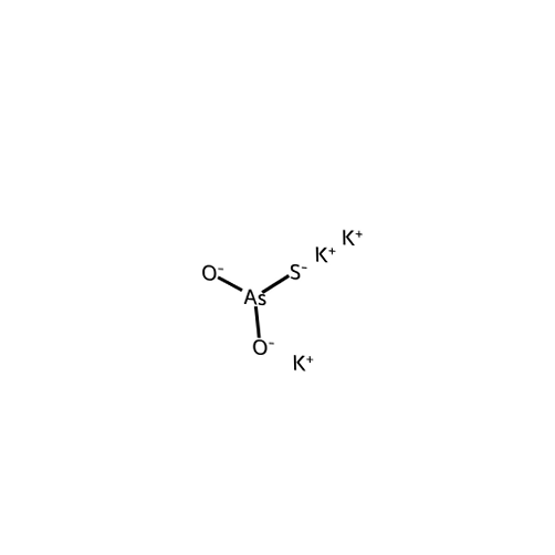 [K+].[K+].[K+].[O-][As]([O-])[S-]